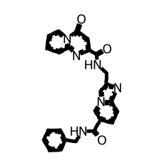 O=C(NCc1ccccc1)c1ccc2nc(CNC(=O)c3cc(=O)n4ccccc4n3)cn2c1